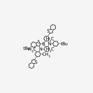 Cc1cc(C(C)(C)C)cc(C)c1N1c2cc(-c3cc4ccccc4s3)ccc2B2c3sc4ccc(C(C)(C)C)cc4c3N(c3c(C)cc(-c4cc5ccccc5s4)cc3C)c3cccc1c32